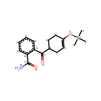 C[Si](C)(C)OC1=CCC(C(=O)c2ccccc2C(N)=O)CC1